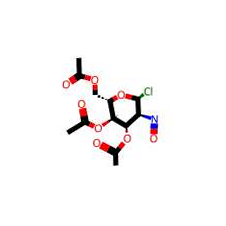 CC(=O)OC[C@@H]1O[C@@H](Cl)[C@@H](N=O)[C@H](OC(C)=O)[C@H]1OC(C)=O